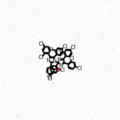 Clc1ccc(C2=NC(c3ccc(Cl)cc3Cl)(n3c(-c4ccc(Cl)cc4Cl)nc(-c4ccc(Cl)cc4Cl)c3-c3ccc(Cl)cc3Cl)N=C2c2ccc(Cl)cc2Cl)c(Cl)c1